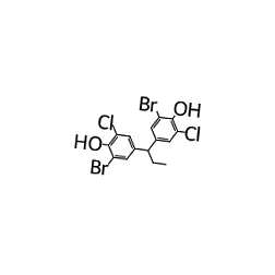 CCC(c1cc(Cl)c(O)c(Br)c1)c1cc(Cl)c(O)c(Br)c1